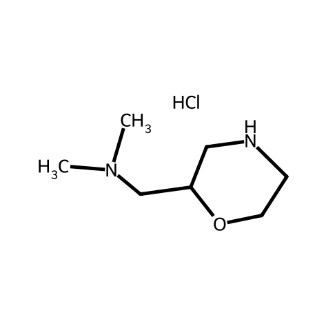 CN(C)CC1CNCCO1.Cl